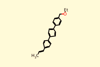 CC=Cc1ccc(-c2ccc(-c3ccc(COCC)cc3)cc2)cc1